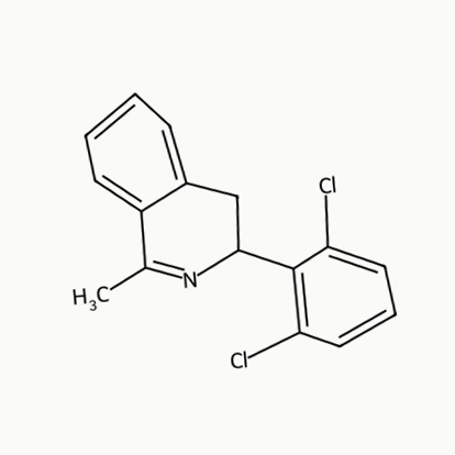 CC1=NC(c2c(Cl)cccc2Cl)Cc2ccccc21